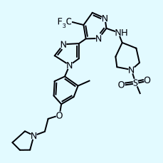 Cc1cc(OCCN2CCCC2)ccc1-n1cnc(-c2nc(NC3CCN(S(C)(=O)=O)CC3)ncc2C(F)(F)F)c1